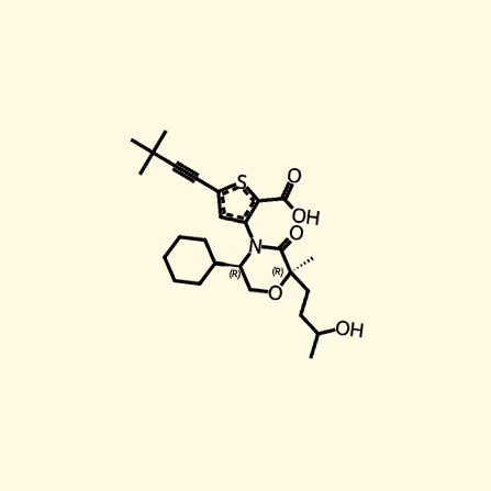 CC(O)CC[C@@]1(C)OC[C@@H](C2CCCCC2)N(c2cc(C#CC(C)(C)C)sc2C(=O)O)C1=O